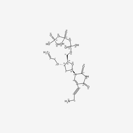 C=CCO[C@H]1C[C@H](n2cc(C#CCN)c(=O)[nH]c2=O)O[C@@H]1COP(=O)(O)OP(=O)(O)OP(=O)(O)O